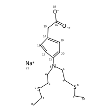 CCSCCN(CCSCC)c1ccc(CC(=O)[O-])cc1.[Na+]